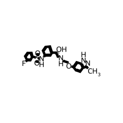 Cc1n[nH]c2cc(OCCNC[C@H](O)c3cccc(NS(=O)(=O)c4cccc(F)c4)c3)ccc12